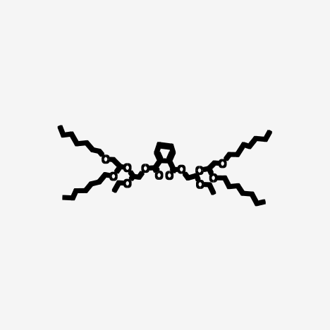 CCCCCCCOCC(OCCCCCCC)OC(COC(=O)c1ccccc1C(=O)OCC(OCC)OC(COCCCCCCC)OCCCCCCC)OCC